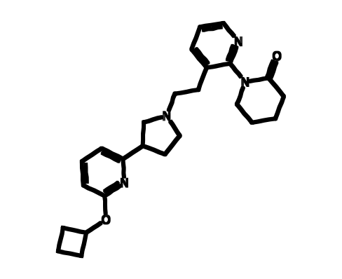 O=C1CCCCN1c1ncccc1CCN1CCC(c2cccc(OC3CCC3)n2)C1